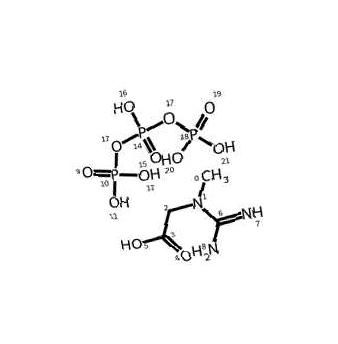 CN(CC(=O)O)C(=N)N.O=P(O)(O)OP(=O)(O)OP(=O)(O)O